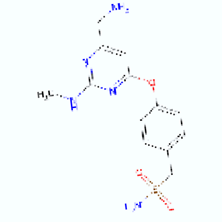 CNc1nc(CN)cc(Oc2ccc(CS(N)(=O)=O)cc2)n1